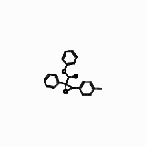 Cc1ccc(C2OC2(C(=O)Oc2ccccc2)c2ccccc2)cc1